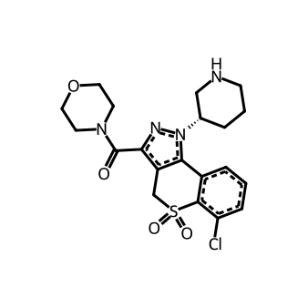 O=C(c1nn([C@H]2CCCNC2)c2c1CS(=O)(=O)c1c(Cl)cccc1-2)N1CCOCC1